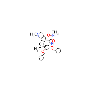 CNC(=O)c1onc(-c2cc(C(C)C)c(OCc3ccccc3)cc2OCc2ccccc2)c1-c1ccc2c(c1)CCN(C)C2